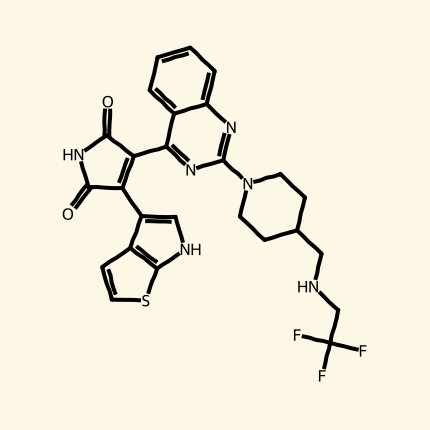 O=C1NC(=O)C(c2c[nH]c3sccc23)=C1c1nc(N2CCC(CNCC(F)(F)F)CC2)nc2ccccc12